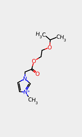 CC(C)OCCOC(=O)Cn1cc[n+](C)c1